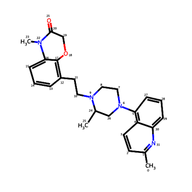 Cc1ccc2c(N3CCN(CCc4cccc5c4OCC(=O)N5C)C(C)C3)cccc2n1